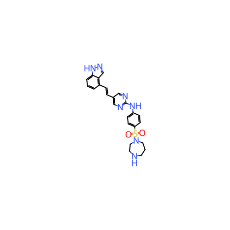 O=S(=O)(c1ccc(Nc2ncc(C=Cc3cccc4[nH]ncc34)cn2)cc1)N1CCCNCC1